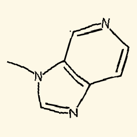 Cn1cnc2ccn[c]c21